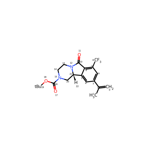 C=C(C)c1cc2c(c(C(F)(F)F)c1)C(=O)N1CCN(C(=O)OC(C)(C)C)C[C@@H]21